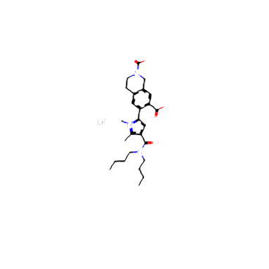 CCCCN(CCCC)C(=O)c1cc(-c2cc3c(cc2C(=O)[O-])CN(C(=O)[O-])CC3)n(C)c1C.[Li+].[Li+]